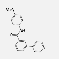 CNc1ccc(NC(=O)c2cccc(-c3ccncc3)c2)cc1